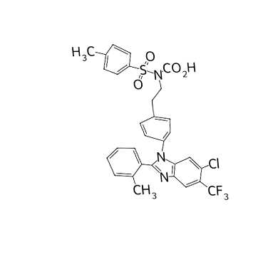 Cc1ccc(S(=O)(=O)N(CCc2ccc(-n3c(-c4ccccc4C)nc4cc(C(F)(F)F)c(Cl)cc43)cc2)C(=O)O)cc1